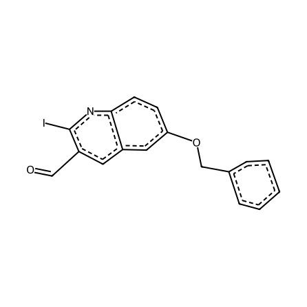 O=Cc1cc2cc(OCc3ccccc3)ccc2nc1I